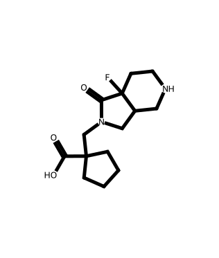 O=C(O)C1(CN2CC3CNCCC3(F)C2=O)CCCC1